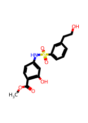 COC(=O)c1ccc(NS(=O)(=O)c2cccc(CCO)c2)cc1O